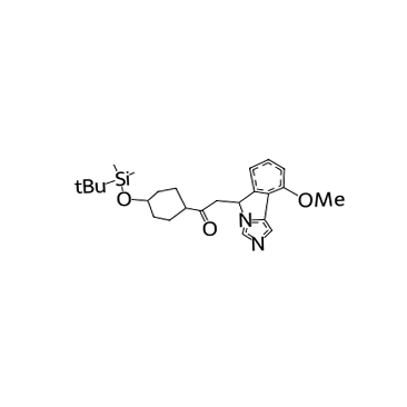 COc1cccc2c1-c1cncn1C2CC(=O)C1CCC(O[Si](C)(C)C(C)(C)C)CC1